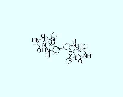 CC[Si](CC)(CC)O[C@]12C[C@H]3C(=O)N[C@@H](C)C(=O)N3[C@H]1Nc1ccc(-c3ccc4c(c3)[C@@]3(O[Si](CC)(CC)CC)C[C@H]5C(=O)N[C@@H](C)C(=O)N5[C@H]3N4)cc12